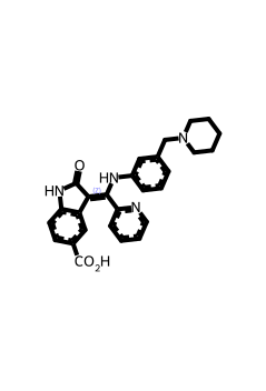 O=C1Nc2ccc(C(=O)O)cc2/C1=C(/Nc1cccc(CN2CCCCC2)c1)c1ccccn1